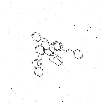 C(=C\c1ccccc1C12CC3CC(C1)CC(c1ccccc1/C=C/c1ccccc1)(C3)C2(c1ccccc1/C=C/c1ccccc1)c1ccccc1/C=C/c1ccccc1)/c1ccccc1